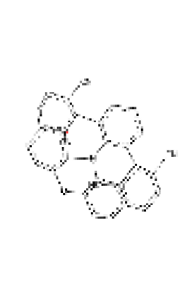 N#Cc1cccc(C#N)c1-c1cccc(-c2c(C#N)cccc2C#N)c1N1c2ccccc2Oc2ccccc21